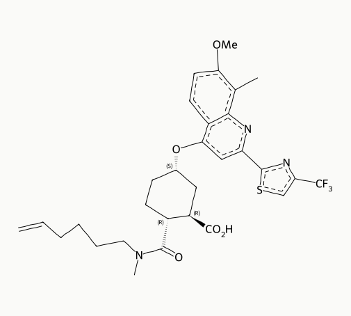 C=CCCCCN(C)C(=O)[C@@H]1CC[C@H](Oc2cc(-c3nc(C(F)(F)F)cs3)nc3c(C)c(OC)ccc23)C[C@H]1C(=O)O